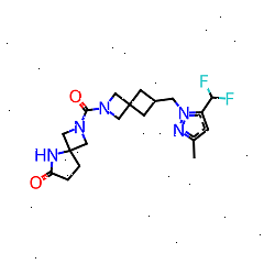 Cc1cc(C(F)F)n(CC2CC3(C2)CN(C(=O)N2CC4(CCC(=O)N4)C2)C3)n1